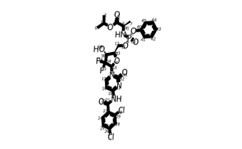 CC(C)OC(=O)[C@@H](C)NP(=O)(OC[C@H]1OC(n2ccc(NC(=O)c3ccc(Cl)cc3Cl)nc2=O)C(F)(F)[C@@H]1O)Oc1ccccc1